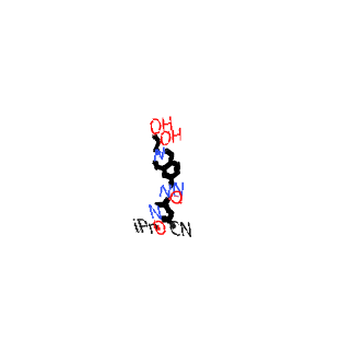 CC(C)Oc1ncc(-c2nc(-c3ccc4c(c3)CCN(CC(O)CO)CC4)no2)cc1C#N